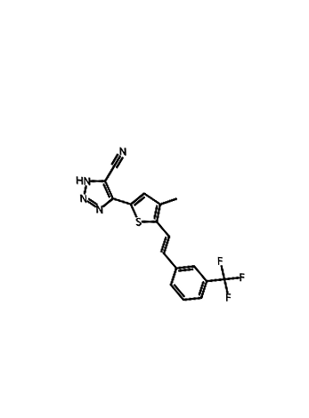 Cc1cc(-c2nn[nH]c2C#N)sc1/C=C/c1cccc(C(F)(F)F)c1